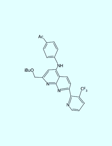 CC(=O)c1ccc(Nc2cc(COCC(C)C)nc3nc(-c4ncccc4C(F)(F)F)ccc23)cc1